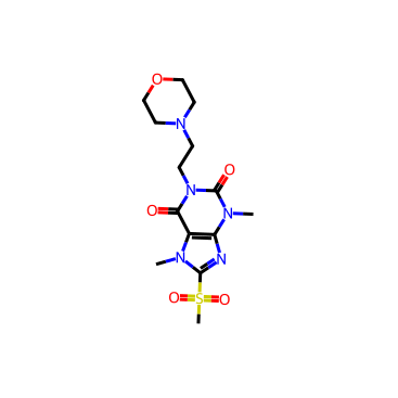 Cn1c(S(C)(=O)=O)nc2c1c(=O)n(CCN1CCOCC1)c(=O)n2C